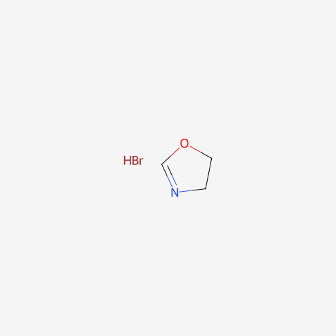 Br.C1=NCCO1